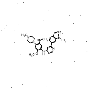 CNc1cc(-c2cc(Nc3cc(NC)c(N4CCN(C)CC4)cc3OC)ncn2)ccc1C=N